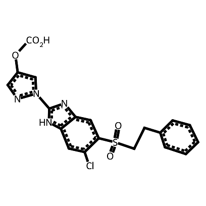 O=C(O)Oc1cnn(-c2nc3cc(S(=O)(=O)CCc4ccccc4)c(Cl)cc3[nH]2)c1